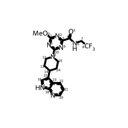 COc1nc(C(=O)NCC(F)(F)F)nc(N2CCC(c3c[nH]c4ncccc34)CC2)n1